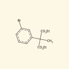 CCOC(=O)C(C)(C(=O)OCC)c1cccc(Br)c1